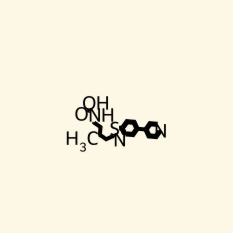 CC(CCNC(=O)O)Cc1nc2cc(-c3ccncc3)ccc2s1